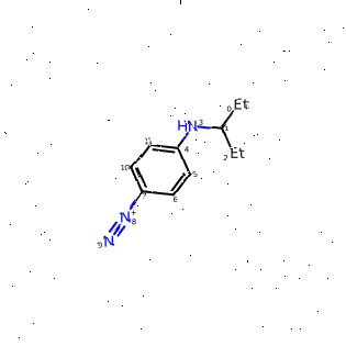 CCC(CC)Nc1ccc([N+]#N)cc1